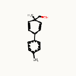 Cc1ccc(C2C=CC(C)(CO)C=C2)cc1